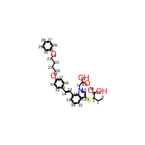 CCC(Sc1cn(CC(=O)O)c2c(/C=C/c3ccc(OCCCCOc4ccccc4)cc3)cccc12)C(=O)O